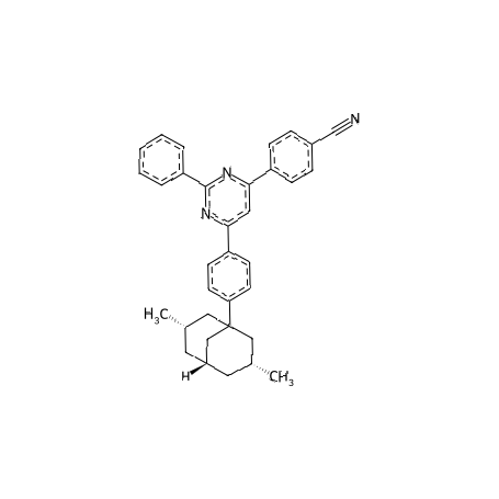 C[C@@H]1C[C@@H]2C[C@H](C)CC(c3ccc(-c4cc(-c5ccc(C#N)cc5)nc(-c5ccccc5)n4)cc3)(C1)C2